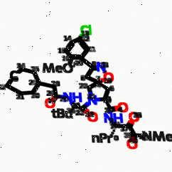 CCC[C@H](NC(=O)[C@@H]1C[C@]2(CC(c3cc(Cl)ccc3OC)=NO2)CN1C(=O)[C@@H](NC(=O)CC1CCCCCC1)C(C)(C)C)C(=O)C(=O)NC